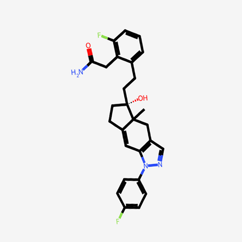 CC12Cc3cnn(-c4ccc(F)cc4)c3C=C1CC[C@@]2(O)CCc1cccc(F)c1CC(N)=O